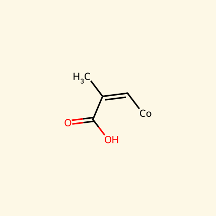 CC(=[CH][Co])C(=O)O